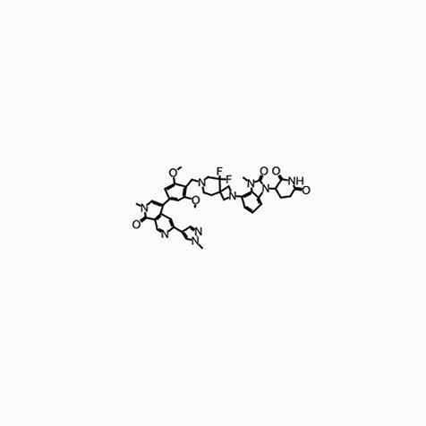 COc1cc(-c2cn(C)c(=O)c3cnc(-c4cnn(C)c4)cc23)cc(OC)c1CN1CCC2(CN(c3cccc4c3n(C)c(=O)n4C3CCC(=O)NC3=O)C2)C(F)(F)C1